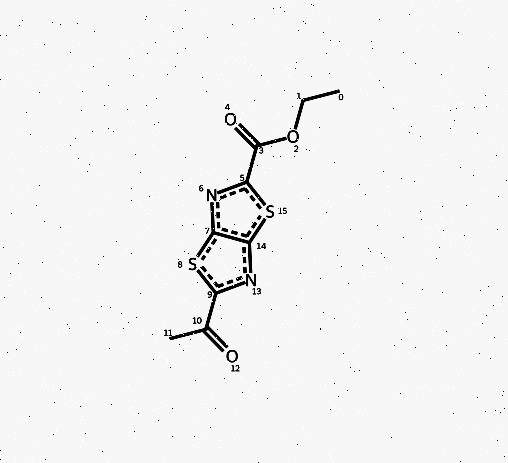 CCOC(=O)c1nc2sc(C(C)=O)nc2s1